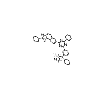 CC1(C)c2ccccc2-c2ccc(-c3nc(-c4ccccc4)nc(-c4ccc5c(ccc6nc(-c7ccccc7)sc65)c4)n3)cc21